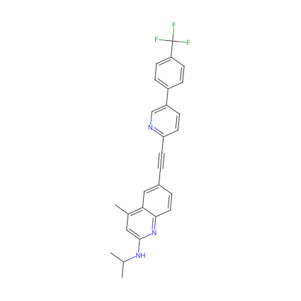 Cc1cc(NC(C)C)nc2ccc(C#Cc3ccc(-c4ccc(C(F)(F)F)cc4)cn3)cc12